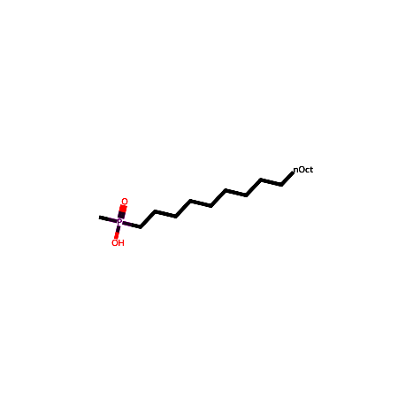 CCCCCCCCCCCCCCCCCP(C)(=O)O